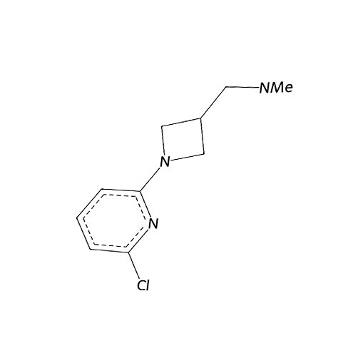 CNCC1CN(c2cccc(Cl)n2)C1